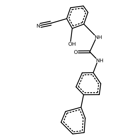 N#Cc1cccc(NC(=O)Nc2ccc(-c3ccccc3)cc2)c1O